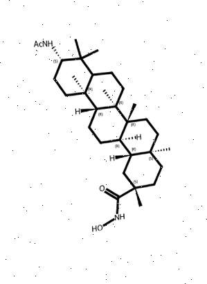 CC(=O)N[C@H]1CC[C@@]2(C)C(CC[C@]3(C)[C@@H]2CC[C@@H]2[C@H]4C[C@@](C)(C(=O)NO)CC[C@]4(C)CC[C@]23C)C1(C)C